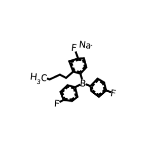 CCCCc1cc(F)ccc1B(c1ccc(F)cc1)c1ccc(F)cc1.[Na]